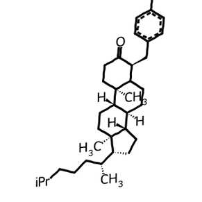 CC(C)CCC[C@@H](C)[C@H]1CC[C@H]2[C@@H]3CCC4[C@H](Cc5ccc(F)cc5)C(=O)CC[C@]4(C)[C@H]3CC[C@]12C